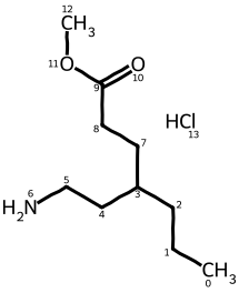 CCCC(CCN)CCC(=O)OC.Cl